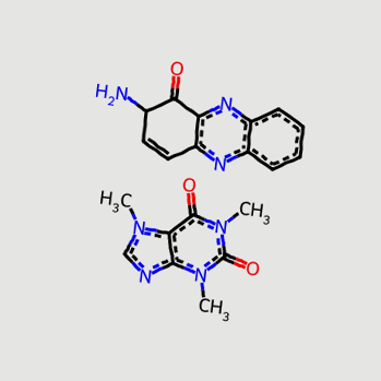 Cn1c(=O)c2c(ncn2C)n(C)c1=O.NC1C=Cc2nc3ccccc3nc2C1=O